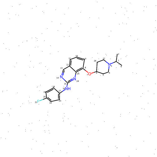 CC(C)N1CCC(Oc2cccc3cnc(Nc4ccc(F)cc4)nc23)CC1